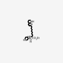 CCOC(=O)[C@H](CCCCCCCc1ccc2c(n1)NCCC2)NC(O)[C@H]1CCCNC1